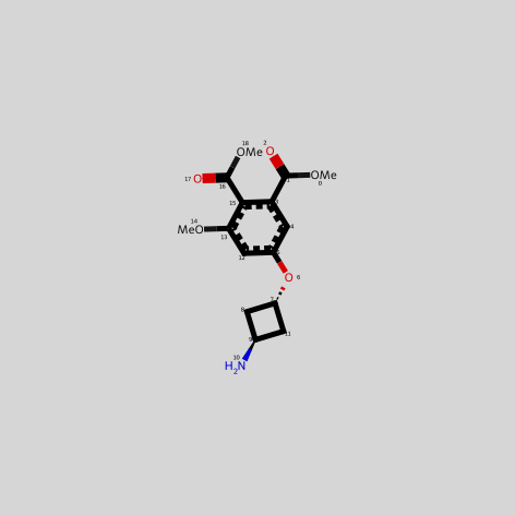 COC(=O)c1cc(O[C@H]2C[C@H](N)C2)cc(OC)c1C(=O)OC